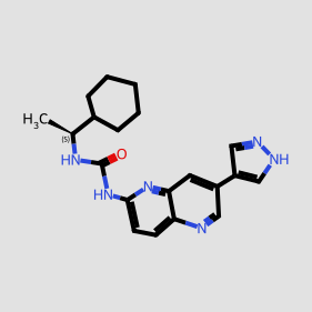 C[C@H](NC(=O)Nc1ccc2ncc(-c3cn[nH]c3)cc2n1)C1CCCCC1